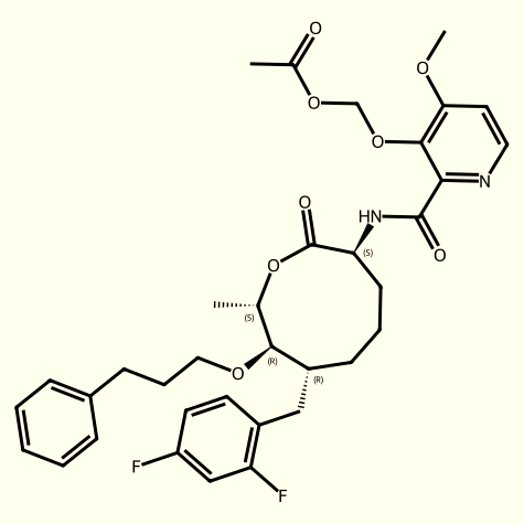 COc1ccnc(C(=O)N[C@H]2CCC[C@H](Cc3ccc(F)cc3F)[C@@H](OCCCc3ccccc3)[C@H](C)OC2=O)c1OCOC(C)=O